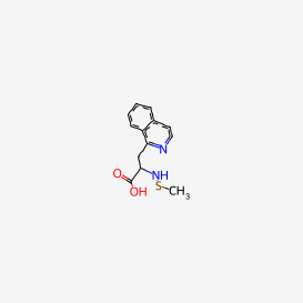 CSNC(Cc1nccc2ccccc12)C(=O)O